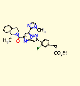 CCOC(=O)[C@H]1C[C@@H]1c1ccc(-c2cc3nc(C(=O)N4CCc5ccccc5[C@H]4C)cc(-c4nccn4C)n3n2)c(F)c1